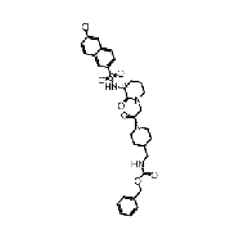 O=C(NCC1CCN(C(=O)CN2CCC[C@H](NS(=O)(=O)c3ccc4cc(Cl)ccc4c3)C2=O)CC1)OCc1ccccc1